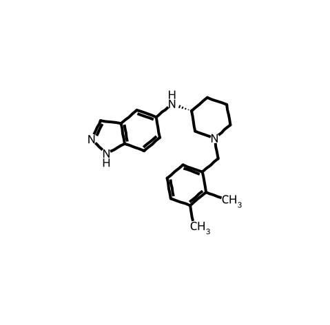 Cc1cccc(CN2CCC[C@@H](Nc3ccc4[nH]ncc4c3)C2)c1C